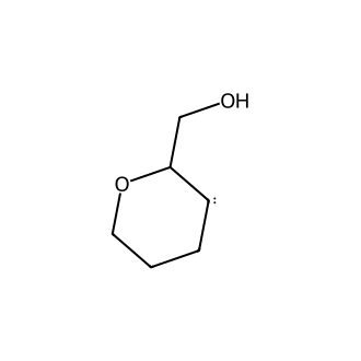 OCC1[C]CCCO1